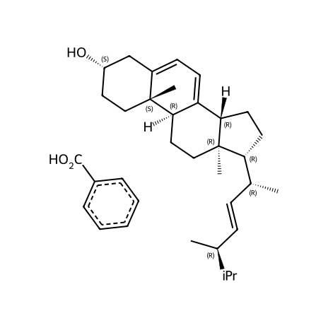 CC(C)[C@@H](C)C=C[C@@H](C)[C@H]1CC[C@H]2C3=CC=C4C[C@@H](O)CC[C@@]4(C)[C@@H]3CC[C@]12C.O=C(O)c1ccccc1